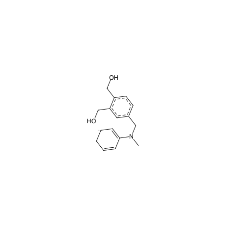 CN(Cc1ccc(CO)c(CO)c1)C1=C[CH]CC=C1